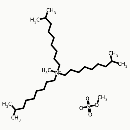 CC(C)CCCCCCC[N+](C)(CCCCCCCC(C)C)CCCCCCCC(C)C.COS(=O)(=O)[O-]